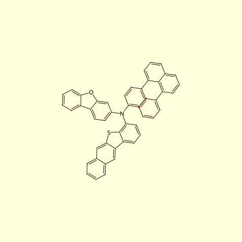 c1ccc(-c2cccc3cccc(-c4ccc(N(c5ccc6c(c5)oc5ccccc56)c5cccc6c5sc5cc7ccccc7cc56)cc4)c23)cc1